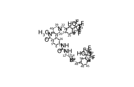 CN(C(=O)c1ccc(NC(=O)NCC2CC2)cc1)C1CCN(Cc2cccc(C(O)(C(F)(F)F)C(F)(F)F)c2)CC1.OC(c1cccc(CBr)c1)(C(F)(F)F)C(F)(F)F